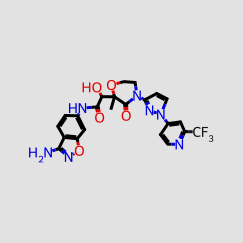 CC1(C(O)C(=O)Nc2ccc3c(N)noc3c2)OCCN(c2ccn(-c3ccnc(C(F)(F)F)c3)n2)C1=O